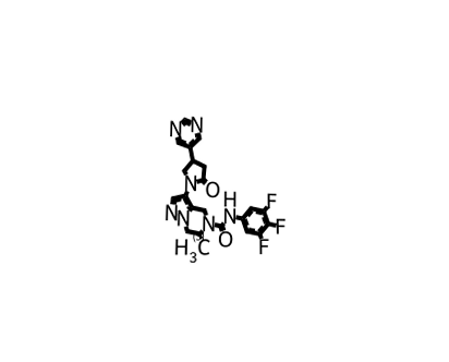 C[C@H]1Cn2ncc(N3CC(c4cncnc4)CC3=O)c2CN1C(=O)Nc1cc(F)c(F)c(F)c1